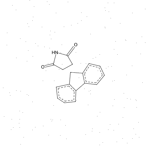 O=C1CCC(=O)N1.c1ccc2c(c1)Cc1ccccc1-2